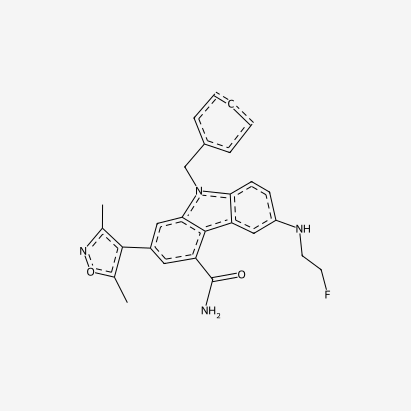 Cc1noc(C)c1-c1cc(C(N)=O)c2c3cc(NCCF)ccc3n(Cc3ccccc3)c2c1